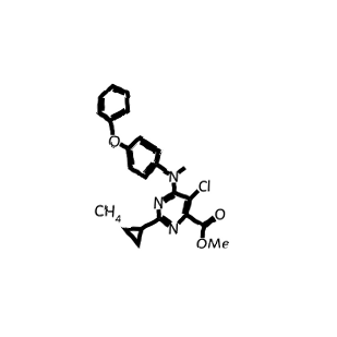 C.COC(=O)c1nc(C2CC2)nc(N(C)c2ccc(Oc3ccccc3)cc2)c1Cl